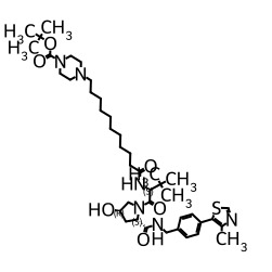 Cc1ncsc1-c1ccc(CNC(=O)[C@@H]2C[C@@H](O)CN2C(=O)[C@@H](NC(=O)CCCCCCCCCCN2CCN(C(=O)OC(C)(C)C)CC2)C(C)(C)C)cc1